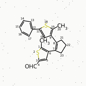 Cc1sc(C=O)cc1C1=C(c2cc(-c3ccccc3)sc2C)CCC1